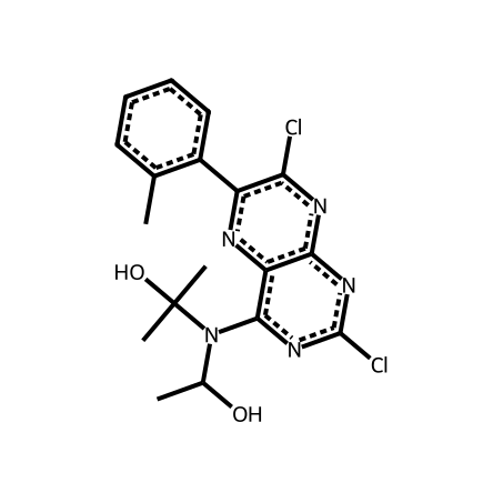 Cc1ccccc1-c1nc2c(N(C(C)O)C(C)(C)O)nc(Cl)nc2nc1Cl